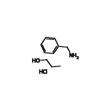 CCCO.Cl.NCc1ccccc1